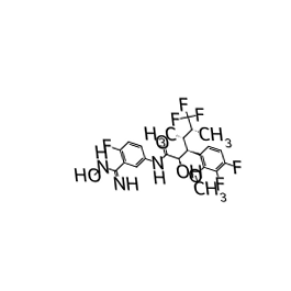 COc1c([C@H]([C@H](C)[C@@H](C)C(F)(F)F)[C@@H](O)C(=O)Nc2ccc(F)c(C(=N)NO)c2)ccc(F)c1F